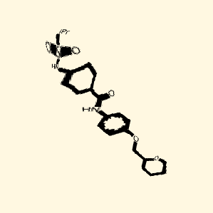 CC(C)S(=O)(=O)NC1CCC(C(=O)Nc2ccc(OCC3CCCCO3)cc2)CC1